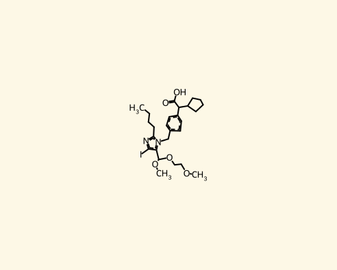 CCCCc1nc(I)c(C(OC)OCCOC)n1Cc1ccc(C(C(=O)O)C2CCCC2)cc1